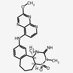 COc1cnc2c(Nc3ccc4c(c3)[C@@]3(C)NC(=N)N(C)S(=O)(=O)[C@H]3CCC4)ccnc2n1